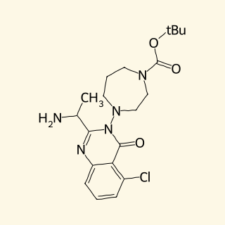 CC(N)c1nc2cccc(Cl)c2c(=O)n1N1CCCN(C(=O)OC(C)(C)C)CC1